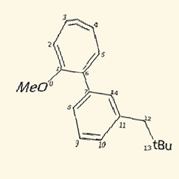 COc1ccccc1-c1cccc(CC(C)(C)C)c1